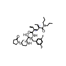 C=C/C(=C\C(=C/C)C(=O)N(CCC)CCC)C(=O)N[C@@H](Cc1cc(F)cc(F)c1)[C@H](O)[C@H]1C[C@@H](N2CCCC2=O)CCN1